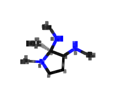 CCCN1CCC(NC(C)(C)C)[C@@]1(NC(C)(C)C)C(=O)O